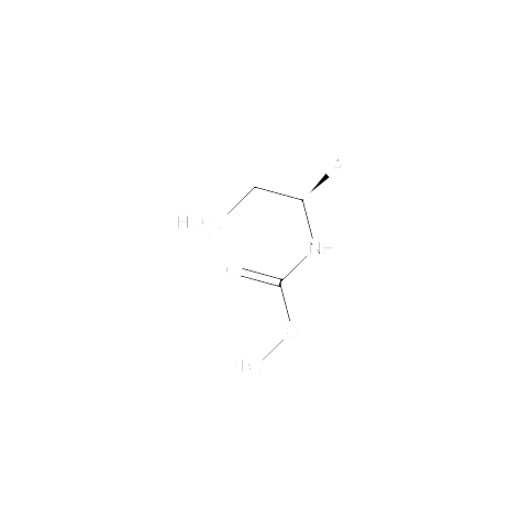 CC(=O)[C@H](CC(=O)O)NC(=O)OC(C)(C)C